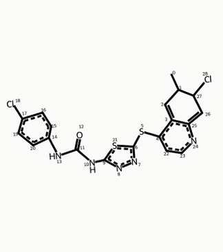 CC1C=c2c(Sc3nnc(NC(=O)Nc4ccc(Cl)cc4)s3)ccnc2=CC1Cl